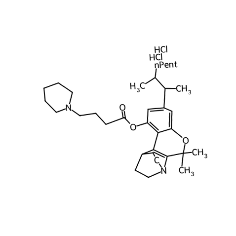 CCCCCC(C)C(C)c1cc(OC(=O)CCCN2CCCCC2)c2c(c1)OC(C)(C)C1=C2C2CCN1CC2.Cl.Cl